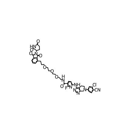 N#Cc1ccc(N2CCc3c(ncnc3Nc3ccc(C(=O)NCCOCCOCCOCCCc4cccc5c4C(=O)N(C4CCC(=O)NC4=O)C5=O)c(F)n3)C2)cc1Cl